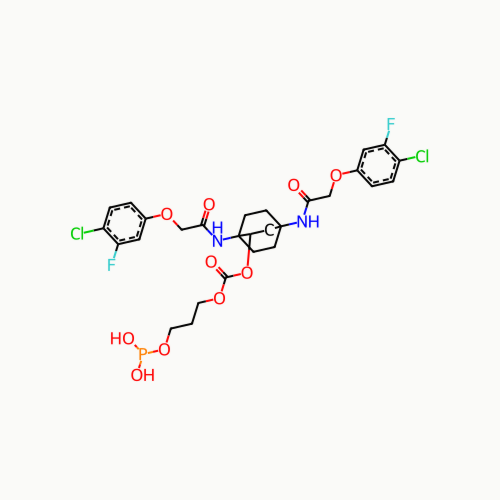 O=C(COc1ccc(Cl)c(F)c1)NC12CCC(NC(=O)COc3ccc(Cl)c(F)c3)(CC1)C(OC(=O)OCCCOP(O)O)C2